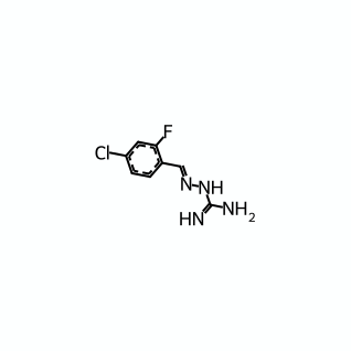 N=C(N)N/N=C/c1ccc(Cl)cc1F